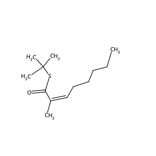 CCCCCC=C(C)C(=O)SC(C)(C)C